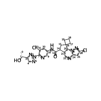 C[C@@H](O)c1cnn(-c2ncc(NC(=O)C3CC4(CCC4)c4c3cnc3cc(Cl)nn43)cc2Cl)n1